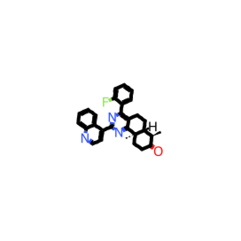 C[C@H]1C(=O)CC[C@@]2(C)c3nc(-c4ccnc5ccccc45)nc(-c4ccccc4F)c3CC[C@H]12